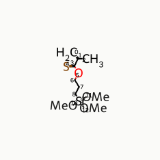 C=C(C)C(=S)OCCC[Si](OC)(OC)OC